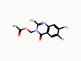 CCc1cc2c(=O)n(COC(=O)C(C)(C)C)c(C)nc2cc1C